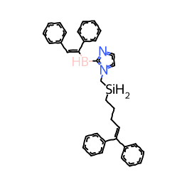 B(C(=Cc1ccccc1)c1ccccc1)c1nccn1C[SiH2]CCCC=C(c1ccccc1)c1ccccc1